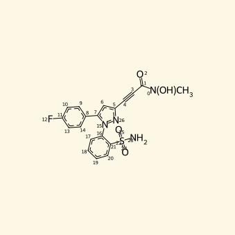 CN(O)C(=O)C#Cc1cc(-c2ccc(F)cc2)n(-c2ccccc2S(N)(=O)=O)n1